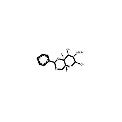 CC(=O)N[C@@H]1[C@H](O)[C@@H]2OC(c3ccccc3)OC[C@H]2O[C@@H]1O